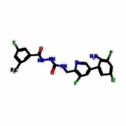 Nc1c(F)cc(Cl)cc1-c1cnc(CNC(=O)NNC(=O)c2cc(F)cc(C(F)(F)F)c2)c(F)c1